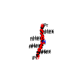 CCCCCCC1(CCCCCC)c2cc(-c3ccc(OC(C)C)cc3)ccc2-c2ccc(-c3ccc4c(c3)C(CCCCCC)(CCCCCC)c3cc(-c5ccc(-c6ccc7c(c6)C(CCCCCC)(CCCCCC)c6cc(-c8ccc9c(c8)C(CCCCCC)(CCCCCC)c8cc(-c%10ccc(OC(C)C)cc%10)ccc8-9)ccc6-7)c6nsnc56)ccc3-4)cc21